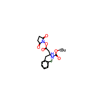 CC(C)(C)OC(=O)NC(CC(=O)ON1C(=O)CCC1=O)Cc1ccccc1F